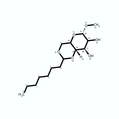 CCCCCCCC1OCC2O[C@H](OC)C(O)[C@@H](O)[C@@H]2O1